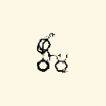 C[C@@]12CC3CC(C(=O)N[C@@H]4CCNC[C@H]4F)(C1)[C@](c1ccccc1)(C3)C2